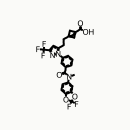 CN(C(=O)c1cccc(-n2nc(C(F)(F)F)cc2CCC23CC(C(=O)O)(C2)C3)c1)c1ccc2c(c1)OC(F)(F)O2